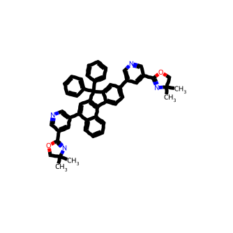 CC1(C)COC(c2cncc(-c3ccc4c(c3)C(c3ccccc3)(c3ccccc3)c3cc(-c5cncc(C6=NC(C)(C)CO6)c5)c5ccccc5c3-4)c2)=N1